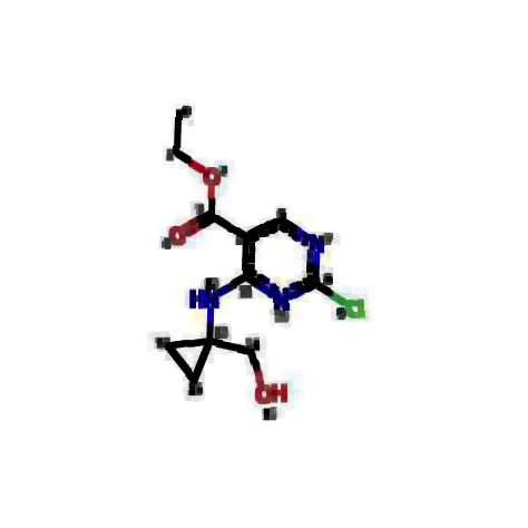 CCOC(=O)c1cnc(Cl)nc1NC1(CO)CC1